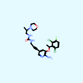 CC(Oc1cc(C#CCNC(=O)NCC(C)N2CCOCC2)cnc1N)c1c(Cl)ccc(F)c1Cl